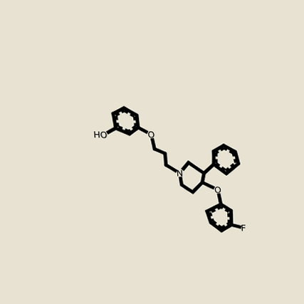 Oc1cccc(OCCCN2CCC(Oc3cccc(F)c3)C(c3ccccc3)C2)c1